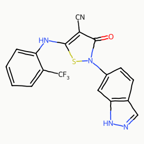 N#Cc1c(Nc2ccccc2C(F)(F)F)sn(-c2ccc3cn[nH]c3c2)c1=O